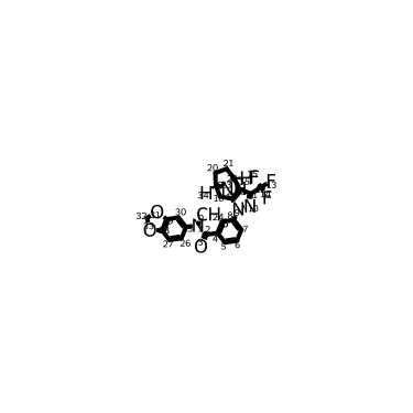 CN(C(=O)c1cccc(-n2nc(C(F)(F)F)c3c2C[C@@H]2CC[C@H]3N2)c1)c1ccc2c(c1)OCO2